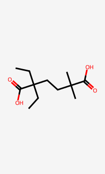 CCC(CC)(CCC(C)(C)C(=O)O)C(=O)O